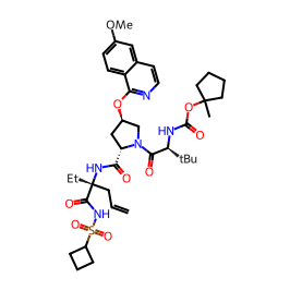 C=CC[C@@](CC)(NC(=O)[C@@H]1C[C@@H](Oc2nccc3cc(OC)ccc23)CN1C(=O)[C@@H](NC(=O)OC1(C)CCCC1)C(C)(C)C)C(=O)NS(=O)(=O)C1CCC1